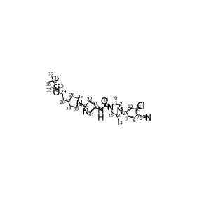 C[C@@H]1CN(c2ccc(C#N)c(Cl)c2)[C@@H](C)CN1C(=O)Nc1ccc(N2CCC(CCO[Si](C)(C)C(C)(C)C)CC2)nc1